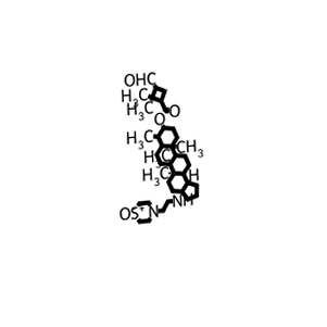 CC1C(OC(=O)C2CC(C=O)C2(C)C)CCC2(C)C1CCC1(C)C2CCC2[C@H]3CCCC3(NCCN3CC[S+]([O-])CC3)CC[C@]21C